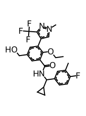 CCOc1c(C(=O)NC(c2ccc(F)c(C)c2)C2CC2)cc(CO)cc1-c1cn(C)nc1C(F)(F)F